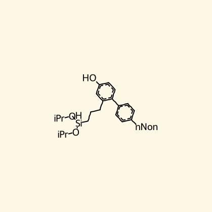 CCCCCCCCCc1ccc(-c2ccc(O)cc2CCC[SiH](OC(C)C)OC(C)C)cc1